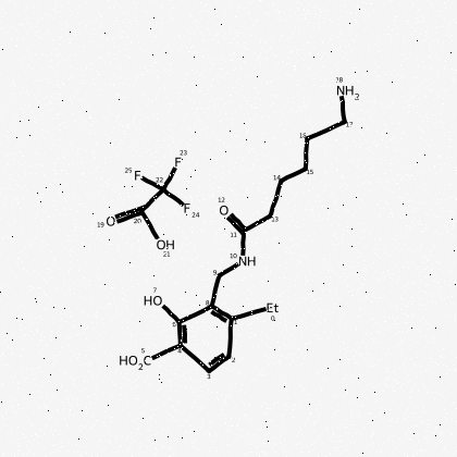 CCc1ccc(C(=O)O)c(O)c1CNC(=O)CCCCCN.O=C(O)C(F)(F)F